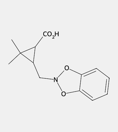 CC1(C)C(CN2Oc3ccccc3O2)C1C(=O)O